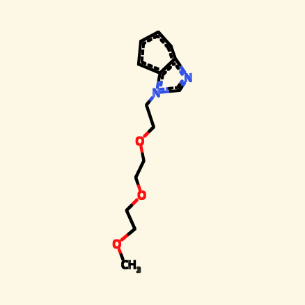 COCCOCCOCCn1cnc2ccccc21